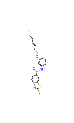 CCCCC=CCCOc1cccc(NC(=O)c2ccc3nc(C)sc3c2)c1